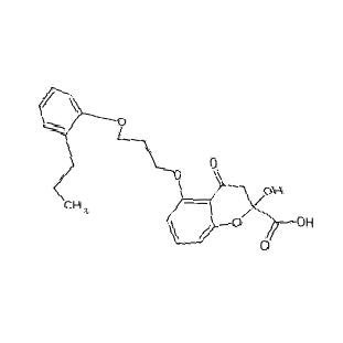 CCCc1ccccc1OCCCOc1cccc2c1C(=O)CC(O)(C(=O)O)O2